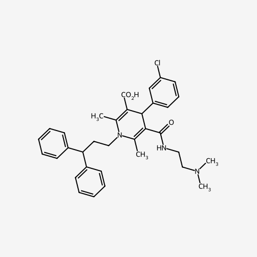 CC1=C(C(=O)O)C(c2cccc(Cl)c2)C(C(=O)NCCN(C)C)=C(C)N1CCC(c1ccccc1)c1ccccc1